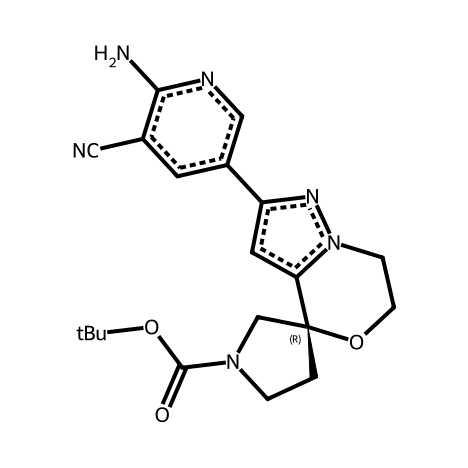 CC(C)(C)OC(=O)N1CC[C@]2(C1)OCCn1nc(-c3cnc(N)c(C#N)c3)cc12